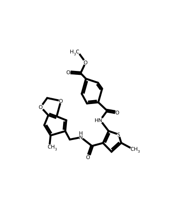 COC(=O)c1ccc(C(=O)Nc2sc(C)cc2C(=O)NCc2cc3c(cc2C)OCO3)cc1